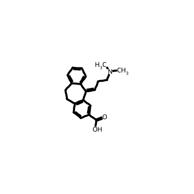 CN(C)CC/C=C1\c2ccccc2CCc2ccc(C(=O)O)cc21